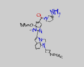 COc1cc(C(=O)N2CCC[C@@H](N)C2)cc2nc(-c3cc4cccc5c4n3CCN5C3CC(NC(C)=O)C3)n(C)c12